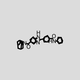 O=C(Nc1ccccc1)c1ccc(-c2nc3cc(C(=O)NC45CC6CC(CC(C6)C4)C5)ccc3[nH]2)cc1